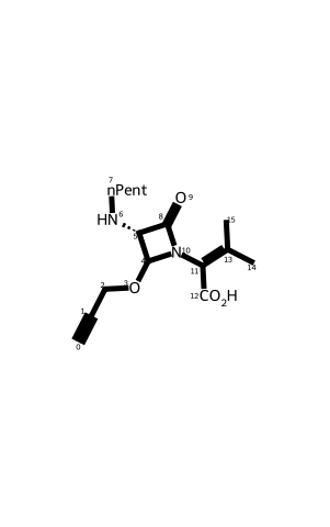 C#CCOC1[C@H](NCCCCC)C(=O)N1C(C(=O)O)=C(C)C